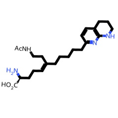 CC(=O)NCC/C(=C\CC[C@H](N)C(=O)O)CCCCCc1ccc2c(n1)NCCC2